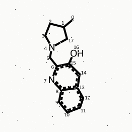 CC1CCN(Cc2nc3ccccc3cc2O)C1